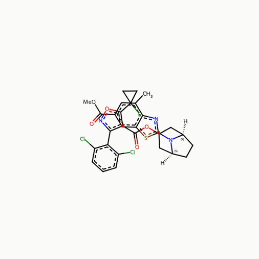 COC(=O)c1cc(C)c2nc(N3[C@@H]4CC[C@H]3CC(OC(=O)c3c(-c5c(Cl)cccc5Cl)noc3C3(F)CC3)C4)sc2c1